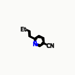 CC/C=C/c1ccc(C#N)cn1